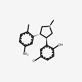 Cc1ccc([N+](=O)[O-])cc1[C@@H]1CN(C)C[C@H]1c1cc(Cl)ccc1O